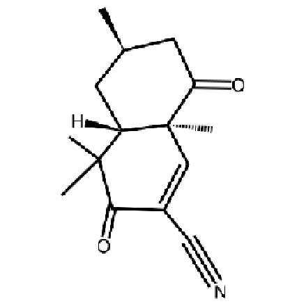 C[C@H]1CC(=O)[C@@]2(C)C=C(C#N)C(=O)C(C)(C)[C@@H]2C1